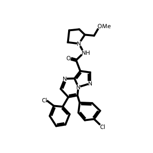 COCC1CCCN1NC(=O)c1cnn2c(-c3ccc(Cl)cc3)c(-c3ccccc3Cl)cnc12